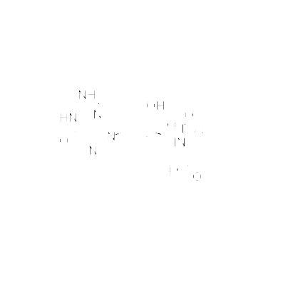 C=C1[C@H](COP(=O)(NC(C)C(=O)OC2CCC2)Oc2ccccc2)[C@@H](O)C[C@@H]1n1cnc2c(=O)[nH]c(N)nc21